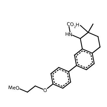 COCCOc1ccc(-c2ccc3c(c2)C(NC(=O)O)C(C)(C)CC3)cc1